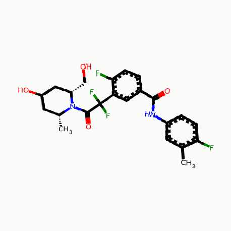 Cc1cc(NC(=O)c2ccc(F)c(C(F)(F)C(=O)N3[C@@H](CO)CC(O)C[C@H]3C)c2)ccc1F